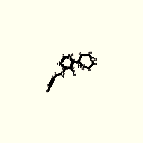 CC#CCOc1ncnc(C2CCCCCN2)c1F